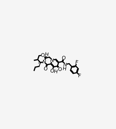 CCC[C@H]1C(C)CO[C@@H]2Cn3cc(C(=O)NCc4ccc(F)cc4F)c(=O)c(O)c3C(=O)N21